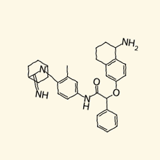 Cc1cc(NC(=O)C(Oc2ccc3c(c2)CCCC3N)c2ccccc2)ccc1N1C(=N)C2CCC1CC2